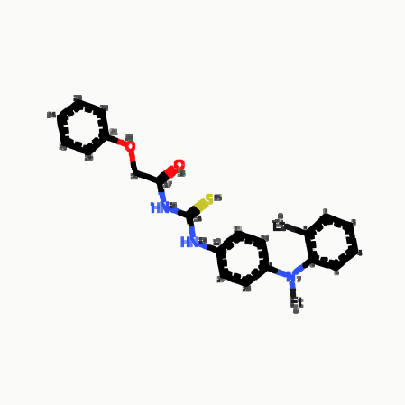 CCc1ccccc1N(CC)c1ccc(NC(=S)NC(=O)COc2ccccc2)cc1